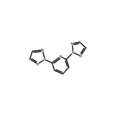 c1cc(-n2nccn2)nc(-n2nccn2)c1